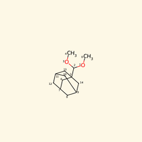 COC(OC)C12CC3CC(CC(C3)C1)C2